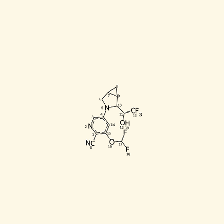 N#Cc1ncc(N2CC3CC3C2C(O)C(F)(F)F)cc1OC(F)F